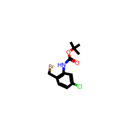 CC(C)(C)OC(=O)Nc1cc(Cl)ccc1CBr